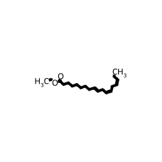 CC/C=C\C/C=C\C/C=C/CCCCCCCC(=O)OCC